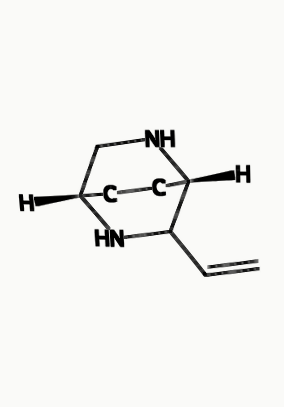 C=CC1N[C@H]2CC[C@@H]1NC2